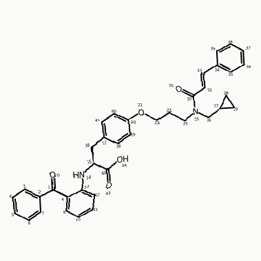 O=C(c1ccccc1)c1ccccc1N[C@@H](Cc1ccc(OCCCN(CC2CC2)C(=O)/C=C/c2ccccc2)cc1)C(=O)O